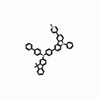 C[n+]1ccc(C2=CC3c4cc(-c5ccc(N(c6ccc(-c7ccccc7)cc6)c6ccc7c(c6)C(C)(C)c6ccccc6-7)cc5)ccc4N(c4ccccc4)C3C=C2)cc1